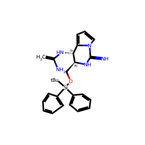 C=C(N)N[C@@H]1c2cccn2C(=N)N[C@H]1CO[Si](c1ccccc1)(c1ccccc1)C(C)(C)C